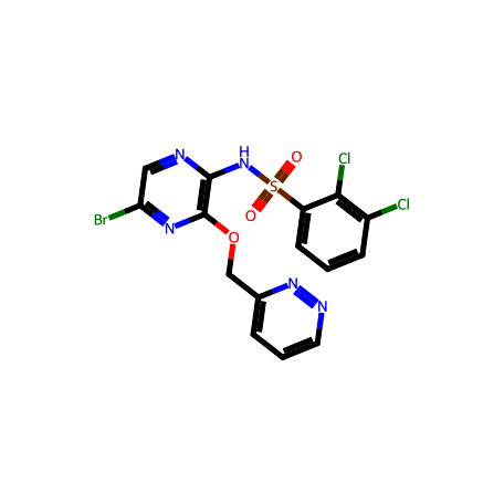 O=S(=O)(Nc1ncc(Br)nc1OCc1cccnn1)c1cccc(Cl)c1Cl